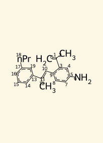 C=C(C)c1cc(N)ccc1/C=C(\C)c1cccc(CCC)c1